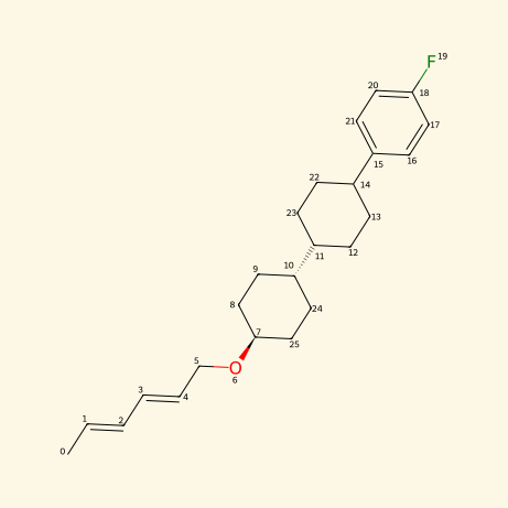 C/C=C/C=C/CO[C@H]1CC[C@H](C2CCC(c3ccc(F)cc3)CC2)CC1